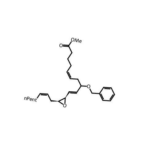 CCCCC/C=C\C[C@@H]1O[C@@H]1/C=C/C(C/C=C\CCCC(=O)OC)OCc1ccccc1